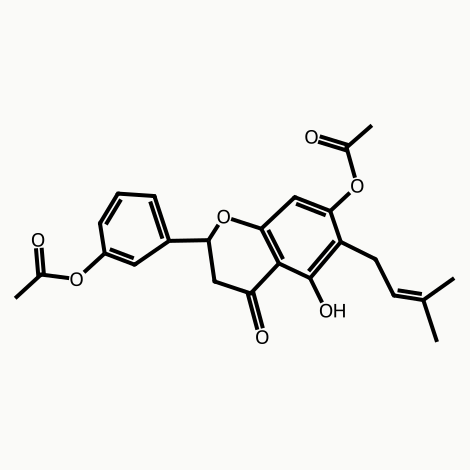 CC(=O)Oc1cccc(C2CC(=O)c3c(cc(OC(C)=O)c(CC=C(C)C)c3O)O2)c1